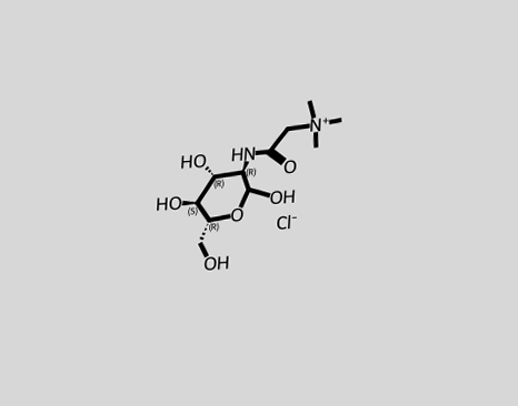 C[N+](C)(C)CC(=O)N[C@H]1C(O)O[C@H](CO)[C@@H](O)[C@@H]1O.[Cl-]